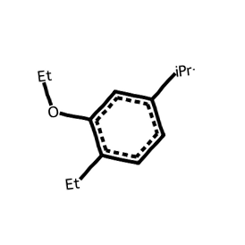 CCOc1cc([C](C)C)ccc1CC